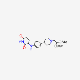 COC(CN1CCC(c2ccc(NC3CCC(=O)NC3=O)cc2)CC1)OC